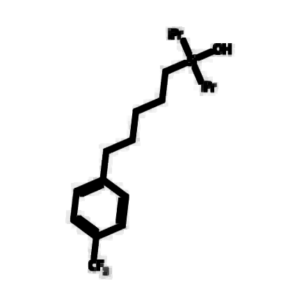 CC(C)[Si](O)(CCCCCc1ccc(C(F)(F)F)cc1)C(C)C